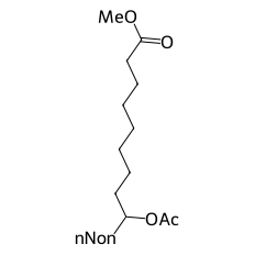 CCCCCCCCCC(CCCCCCCC(=O)OC)OC(C)=O